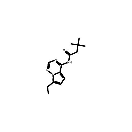 CCc1ccc2c(NC(=O)CC(C)(C)C)ncnn12